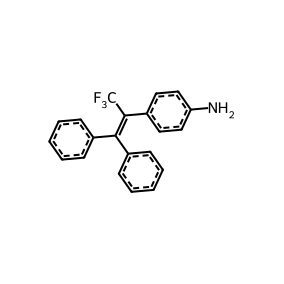 Nc1ccc(C(=C(c2ccccc2)c2ccccc2)C(F)(F)F)cc1